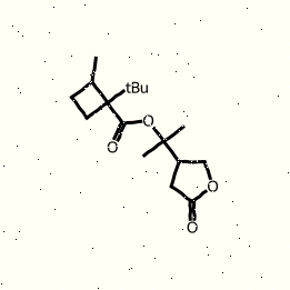 CC1CCC1(C(=O)OC(C)(C)C1COC(=O)C1)C(C)(C)C